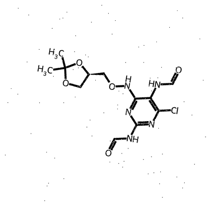 CC1(C)OC[C@H](CONc2nc(NC=O)nc(Cl)c2NC=O)O1